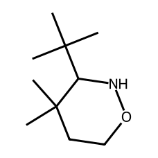 CC(C)(C)C1NOCCC1(C)C